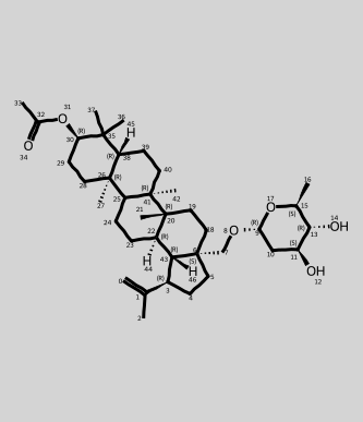 C=C(C)[C@@H]1CC[C@]2(CO[C@H]3C[C@H](O)[C@@H](O)[C@H](C)O3)CC[C@]3(C)[C@H](CCC4[C@@]5(C)CC[C@@H](OC(C)=O)C(C)(C)[C@@H]5CC[C@]43C)[C@@H]12